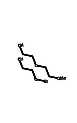 CCOCCO.COCCOCCO